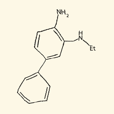 CCNc1cc(-c2ccccc2)ccc1N